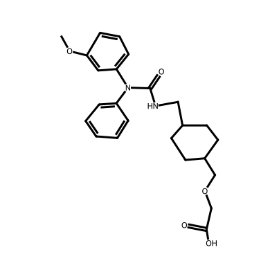 COc1cccc(N(C(=O)NCC2CCC(COCC(=O)O)CC2)c2ccccc2)c1